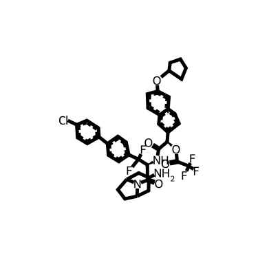 NC1CC2CCC(C1)N2C(=O)[C@H](NC(=O)[C@H](OC(=O)C(F)(F)F)c1ccc2cc(OC3CCCC3)ccc2c1)C(F)(F)c1ccc(-c2ccc(Cl)cc2)cc1